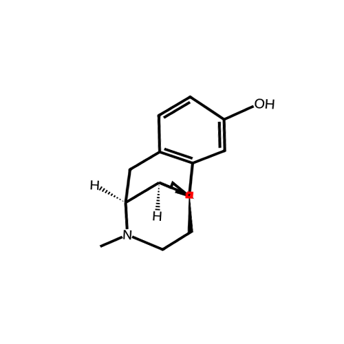 CN1CC[C@]23CCCC[C@@H]2[C@@H]1Cc1ccc(O)cc13